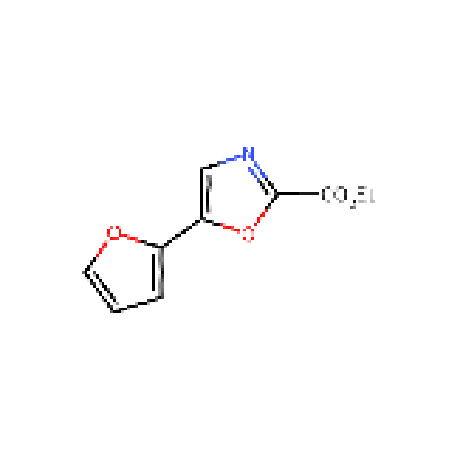 CCOC(=O)c1ncc(-c2ccco2)o1